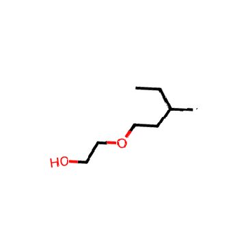 [CH2]C(CC)CCOCCO